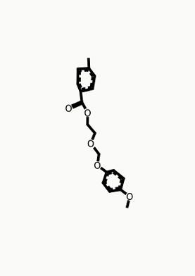 COc1ccc(OCOCCOC(=O)c2ccc(C)cc2)cc1